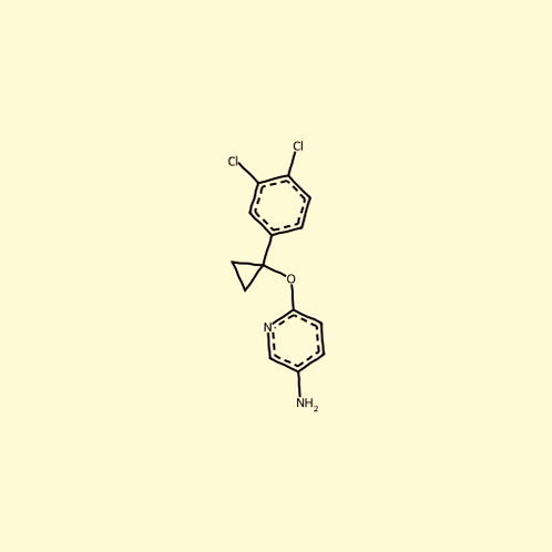 Nc1ccc(OC2(c3ccc(Cl)c(Cl)c3)CC2)nc1